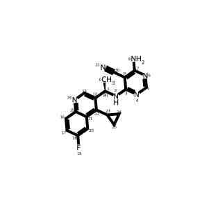 C[C@@H](Nc1ncnc(N)c1C#N)c1cnc2ccc(F)cc2c1C1CC1